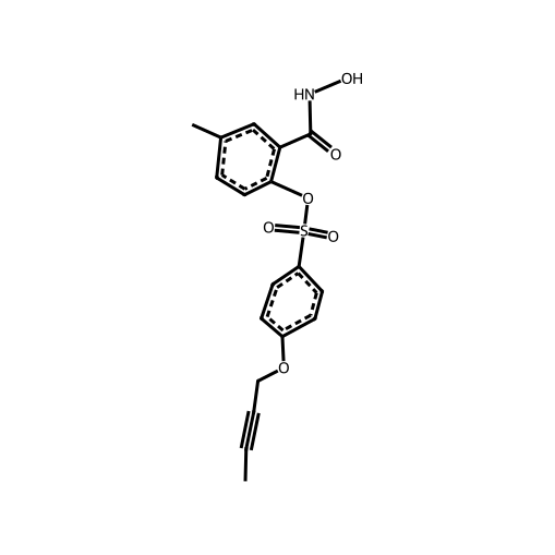 CC#CCOc1ccc(S(=O)(=O)Oc2ccc(C)cc2C(=O)NO)cc1